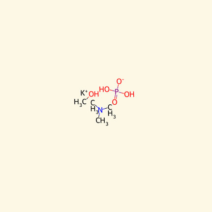 CN(C)C.CO.O=P([O-])(O)O.[K+]